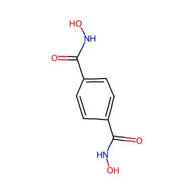 O=C(NO)c1ccc(C(=O)NO)cc1